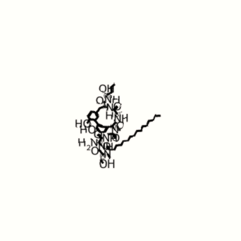 CCCCCCCCCCCCCCCC(=O)N(C)[C@H](CO)C(=O)N[C@H](N)C(=O)NCC(=O)N(C)[C@@H]1C(=O)N[C@@H](C)C(=O)N[C@H](C(=O)N[C@H](CO)CCC)Cc2ccc(O)c(c2)-c2cc1ccc2O